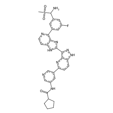 CS(=O)(=O)C(N)c1cc(F)cc(-c2nccc3[nH]c(-c4n[nH]c5ccc(-c6cncc(NC(=O)C7CCCC7)c6)nc45)nc23)c1